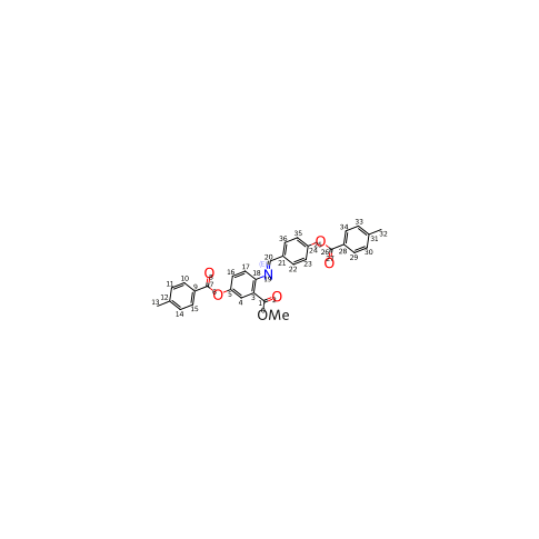 COC(=O)c1cc(OC(=O)c2ccc(C)cc2)ccc1/N=C/c1ccc(OC(=O)c2ccc(C)cc2)cc1